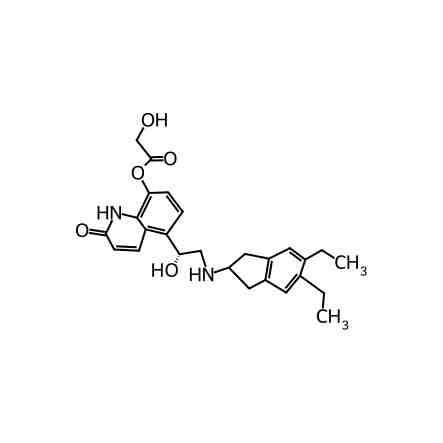 CCc1cc2c(cc1CC)CC(NC[C@H](O)c1ccc(OC(=O)CO)c3[nH]c(=O)ccc13)C2